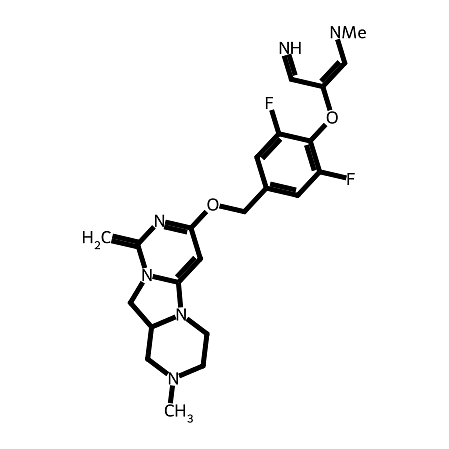 C=C1N=C(OCc2cc(F)c(O/C(C=N)=C/NC)c(F)c2)C=C2N1CC1CN(C)CCN21